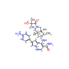 C[C@H]1[C@@H]2CN(C(=O)C(C)(C)O)C[C@H]2C[C@H]1Nc1c(C(N)=O)cnn2cc(-c3cnc(N)nc3)cc12